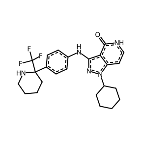 O=c1[nH]ccc2c1c(Nc1ccc(C3(C(F)(F)F)CCCCN3)cc1)nn2C1CCCCC1